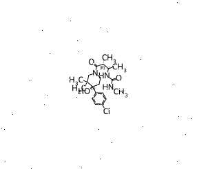 CNC(=O)NC(C)[C@@H](C)C(=O)N1CC[C@](O)(c2ccc(Cl)cc2)C(C)(C)C1